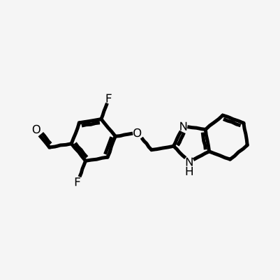 O=Cc1cc(F)c(OCc2nc3c([nH]2)CCC=C3)cc1F